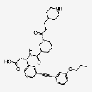 O=C(O)C[C@H](NC(=O)[C@@H]1CCCN(C(=O)CCC2CCNCC2)C1)c1cncc(C#Cc2cccc(OCCI)c2)c1